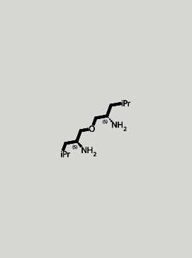 CC(C)C[C@H](N)COC[C@@H](N)CC(C)C